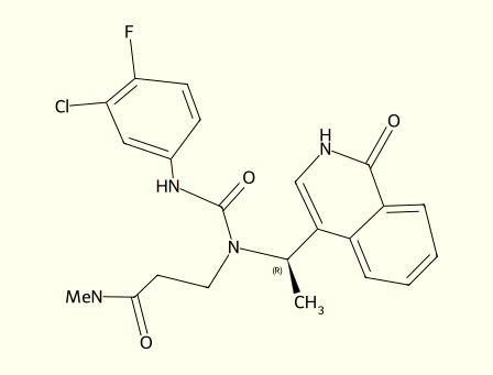 CNC(=O)CCN(C(=O)Nc1ccc(F)c(Cl)c1)[C@H](C)c1c[nH]c(=O)c2ccccc12